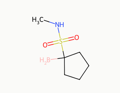 BC1(S(=O)(=O)NC)CCCC1